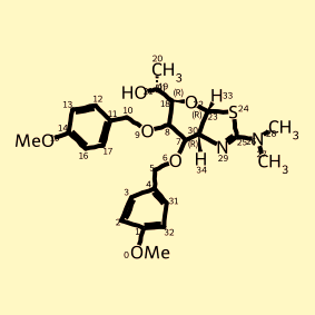 COc1ccc(COC2C(OCc3ccc(OC)cc3)[C@@H]([C@@H](C)O)O[C@@H]3SC(N(C)C)=N[C@H]23)cc1